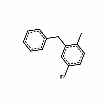 Cc1ccc(C(C)C)cc1Cc1ccccc1